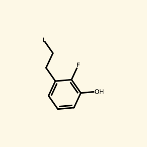 Oc1cccc(CCI)c1F